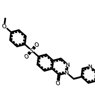 COc1ccc(S(=O)(=O)c2ccc3c(=O)n(Cc4cccnc4)ncc3c2)cc1